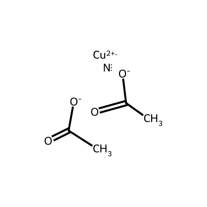 CC(=O)[O-].CC(=O)[O-].[Cu+2].[N]